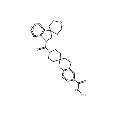 O=C(NO)c1ccc2c(c1)CCC1(CCN(C(=O)N3CC4(CCOCC4)c4ccccc43)CC1)O2